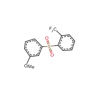 COc1cccc(S(=O)(=O)c2ccccc2C(F)(F)F)c1